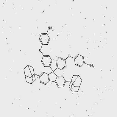 Nc1ccc(Oc2ccc(C3(c4ccc(Oc5ccc(N)cc5)cc4)c4cc(C56CC7CC(CC(C7)C5)C6)ccc4-c4ccc(C56CC7CC(CC(C7)C5)C6)cc43)cc2)cc1